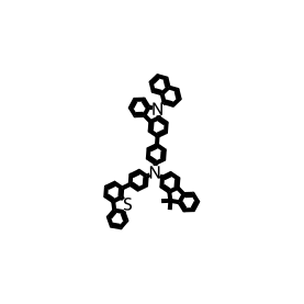 CC1(C)c2ccccc2-c2ccc(N(c3ccc(-c4ccc5c(c4)c4ccccc4n5-c4cccc5ccccc45)cc3)c3ccc(-c4cccc5c4sc4ccccc45)cc3)cc21